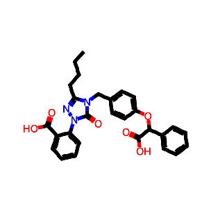 CCCCc1nn(-c2ccccc2C(=O)O)c(=O)n1Cc1ccc(OC(C(=O)O)c2ccccc2)cc1